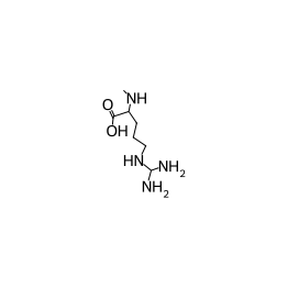 CNC(CCCNC(N)N)C(=O)O